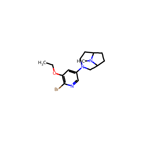 CCOc1cc(N2CCC3CCC(C2)N3C)cnc1Br